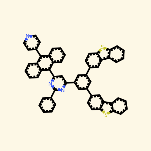 c1ccc(-c2nc(-c3cc(-c4ccc5sc6ccccc6c5c4)cc(-c4ccc5sc6ccccc6c5c4)c3)cc(-c3c4ccccc4c(-c4ccncc4)c4ccccc34)n2)cc1